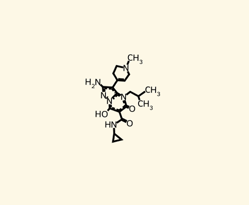 CC(C)Cn1c(=O)c(C(=O)NC2CC2)c(O)n2nc(N)c(C3=CCN(C)CC3)c12